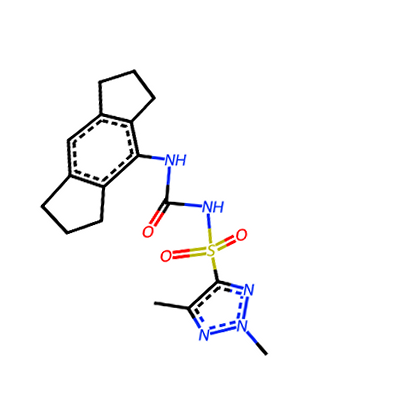 Cc1nn(C)nc1S(=O)(=O)NC(=O)Nc1c2c(cc3c1CCC3)CCC2